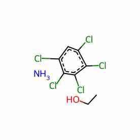 CCO.Clc1cc(Cl)c(Cl)c(Cl)c1Cl.N